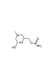 CN(CCO)CC(O)COC(N)=O